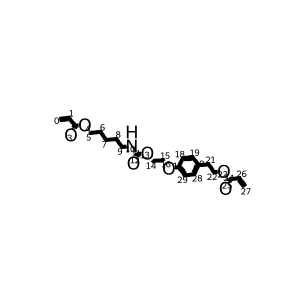 C=CC(=O)OCCCCCNC(=O)OCCOc1ccc(CCOC(=O)C=C)cc1